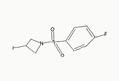 O=S(=O)(c1ccc(F)cc1)N1CC(I)C1